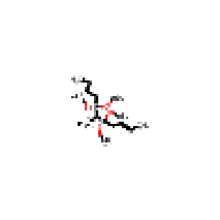 CC=CC[Si](OCCCC)(OCCCC)C(C)[Si](CC=CC)(OCCCC)OCCCC